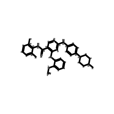 CCCOc1ccccc1Oc1nc(Nc2ccc(N3CCN(C)CC3)cc2)ncc1C(=O)Nc1c(C)cccc1C